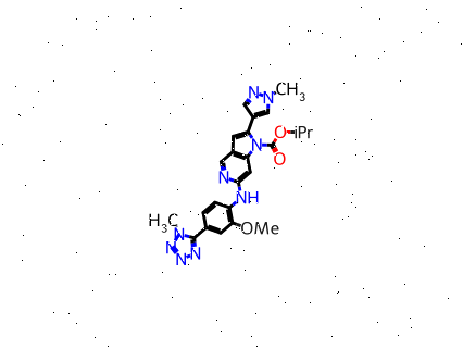 COc1cc(-c2nnnn2C)ccc1Nc1cc2c(cn1)cc(-c1cnn(C)c1)n2C(=O)OC(C)C